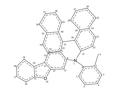 Cc1ccccc1N(c1ccc2c(c1)oc1ccccc12)c1ccc2ccccc2c1-c1cccc2ccccc12